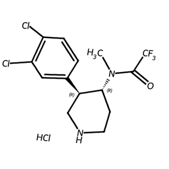 CN(C(=O)C(F)(F)F)[C@@H]1CCNC[C@H]1c1ccc(Cl)c(Cl)c1.Cl